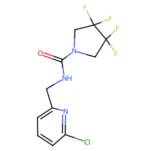 O=C(NCc1cccc(Cl)n1)N1CC(F)(F)C(F)(F)C1